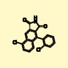 O=C1NC(=O)c2c1cc1c(Cl)cccc1c2-c1ccccc1Cl